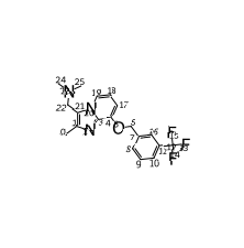 Cc1nc2c(OCc3cccc(C(F)(F)F)c3)cccn2c1CN(C)C